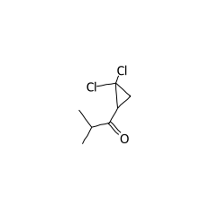 CC(C)C(=O)C1CC1(Cl)Cl